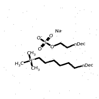 CCCCCCCCCCCCCCCC[N+](C)(C)C.CCCCCCCCCCCCOS(=O)(=O)[O-].[Na]